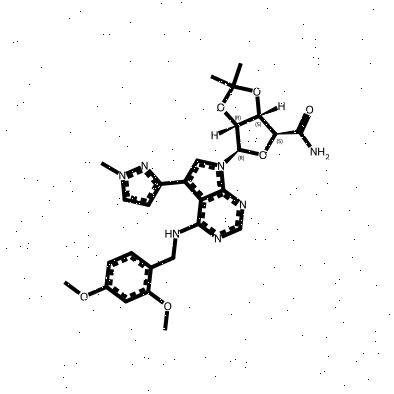 COc1ccc(CNc2ncnc3c2c(-c2ccn(C)n2)cn3[C@@H]2O[C@H](C(N)=O)[C@H]3OC(C)(C)O[C@H]32)c(OC)c1